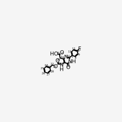 O=C(O)Cc1nc(-c2ccc(F)cc2)[nH]c(=O)c1NC(=O)OCc1ccccc1